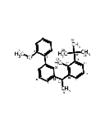 COc1ccccc1-c1cccc(C(C)c2cccc(C(C)(C)C)c2O)c1